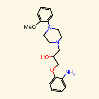 COc1ccccc1N1CCN(CC(O)COc2ccccc2N)CC1